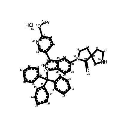 CC(C)Oc1ccc(-c2nn(C(c3ccccc3)(c3ccccc3)c3ccccc3)c3ccc(N4CCC5(CCNC5)C4=O)cc23)cn1.Cl